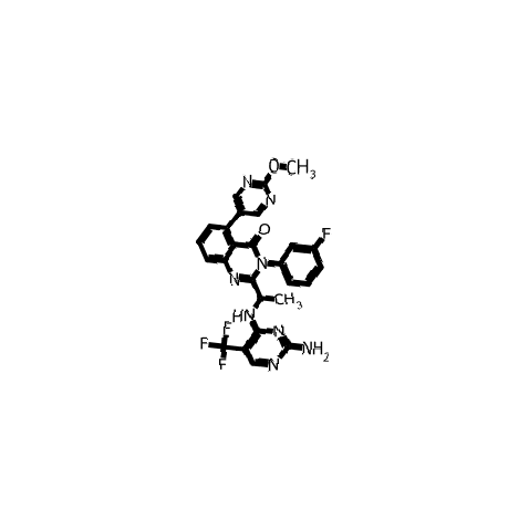 COc1ncc(-c2cccc3nc(C(C)Nc4nc(N)ncc4C(F)(F)F)n(-c4cccc(F)c4)c(=O)c23)cn1